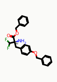 N[C@](Cc1ccc(OCc2ccccc2)cc1)(C(=O)OCc1ccccc1)C(F)F